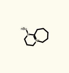 CCCCN1CCC[N+]2=C1CCCCC2